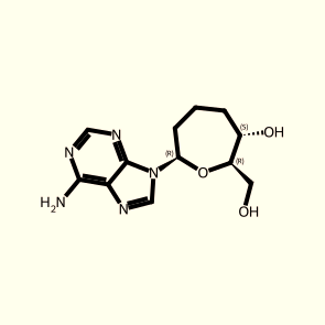 Nc1ncnc2c1ncn2[C@H]1CCC[C@H](O)[C@@H](CO)O1